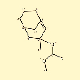 COC(C)OC1(C)C=C2CCCC(C2)C1